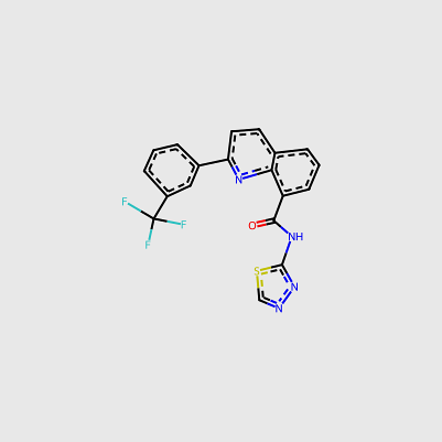 O=C(Nc1nncs1)c1cccc2ccc(-c3cccc(C(F)(F)F)c3)nc12